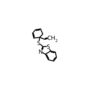 C=CC1(Sc2nc3ccccc3s2)C=CC=CC1